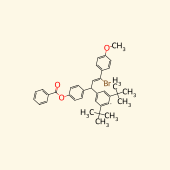 COc1ccc(C(Br)=CC(c2ccc(OC(=O)c3ccccc3)cc2)c2cc(C(C)(C)C)[c]c(C(C)(C)C)c2)cc1